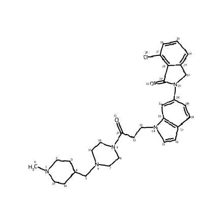 CN1CCC(CN2CCN(C(=O)CCn3ccc4ccc(N5Cc6cccc(Cl)c6C5=O)cc43)CC2)CC1